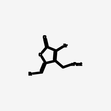 CCCCCCC1=C(Br)C(=O)O/C1=C\Br